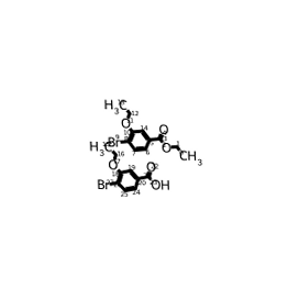 CCOC(=O)c1ccc(Br)c(OCC)c1.CCOc1cc(C(=O)O)ccc1Br